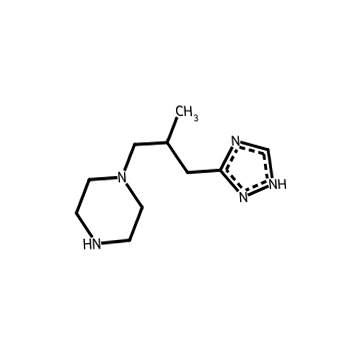 C[C](Cc1nc[nH]n1)CN1CCNCC1